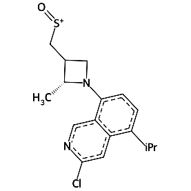 CC(C)c1ccc(N2CC(C[S+]=O)[C@H]2C)c2cnc(Cl)cc12